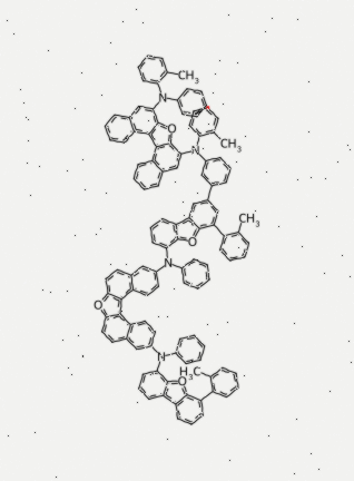 Cc1ccccc1-c1cccc2c1oc1c(N(c3ccccc3)c3ccc4c(ccc5oc6ccc7cc(N(c8ccccc8)c8cccc9c8oc8c(-c%10ccccc%10C)cc(-c%10cccc(N(c%11ccccc%11C)c%11cc%12ccccc%12c%12c%11oc%11c(N(c%13ccccc%13)c%13ccccc%13C)cc%13ccccc%13c%11%12)c%10)cc89)ccc7c6c54)c3)cccc12